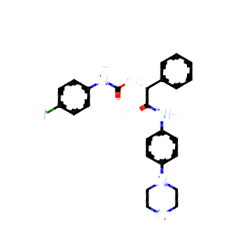 O=C(Nc1ccc(Cl)cc1)O[C@@H](C(=O)Nc1ccc(N2CCNCC2)cc1)c1ccccc1